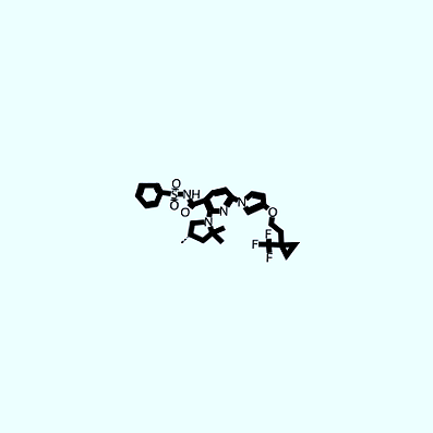 C[C@@H]1CN(c2nc(-n3ccc(OCCC4(C(F)(F)F)CC4)c3)ccc2C(=O)NS(=O)(=O)c2ccccc2)C(C)(C)C1